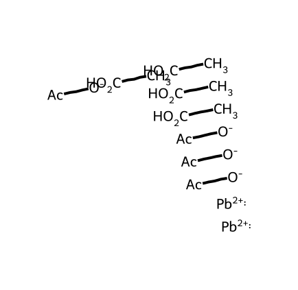 CC(=O)O.CC(=O)O.CC(=O)O.CC(=O)O.CC(=O)[O-].CC(=O)[O-].CC(=O)[O-].CC(=O)[O-].[Pb+2].[Pb+2]